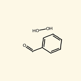 O=[C]c1ccccc1.OO